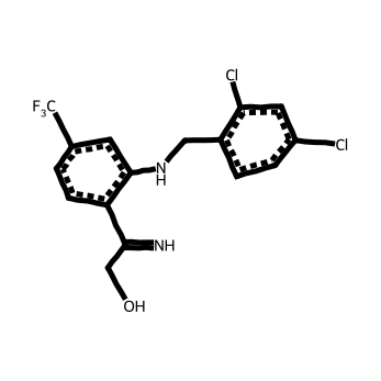 N=C(CO)c1ccc(C(F)(F)F)cc1NCc1ccc(Cl)cc1Cl